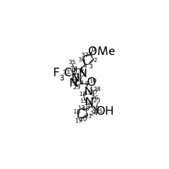 COc1ccc(-c2nc3c(C(=O)N4CCN(C(c5ccccc5)C(C)(C)O)C[C@H]4C)cnn3c(C(F)(F)F)c2C)cc1